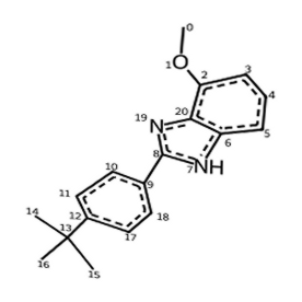 COc1cccc2[nH]c(-c3ccc(C(C)(C)C)cc3)nc12